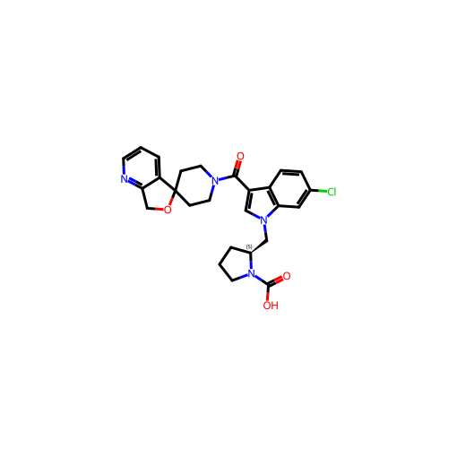 O=C(c1cn(C[C@@H]2CCCN2C(=O)O)c2cc(Cl)ccc12)N1CCC2(CC1)OCc1ncccc12